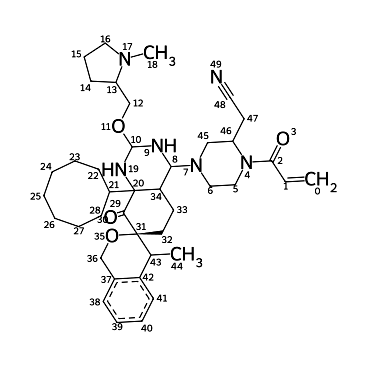 C=CC(=O)N1CCN(C2NC(OCC3CCCN3C)NC3(C4CCCCCCC4)C(=O)[C@@]4(CCC23)OCc2ccccc2C4C)CC1CC#N